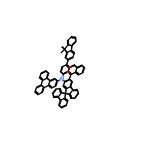 CC1(C)c2ccccc2-c2ccc(-c3ccc(N(c4ccc5c6ccccc6c6ccccc6c5c4)c4cc5c(cc4-c4cccc6ccccc46)-c4ccccc4C54c5ccccc5-c5ccccc54)cc3)cc21